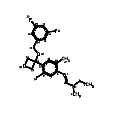 CCN(C)C=Nc1cc(F)c(C2(OCc3cc(F)cc(F)c3)COC2)cc1C